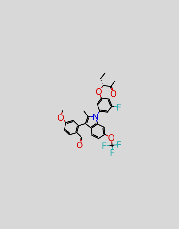 CC[C@@H](Oc1cc(F)cc(-n2c(C)c(-c3cc(OC)ccc3C=O)c3ccc(OC(F)(F)F)cc32)c1)C(C)=O